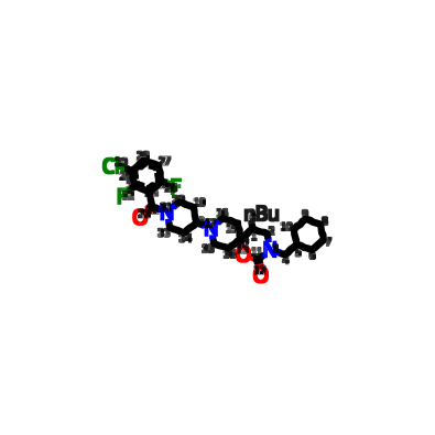 CCCCC1CN(CC2CCCCC2)C(=O)OC12CCN(C1CCN(C(=O)c3c(F)ccc(Cl)c3F)CC1)CC2